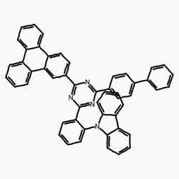 c1ccc(-c2ccc(-c3nc(-c4ccc5c6ccccc6c6ccccc6c5c4)nc(-c4ccccc4-n4c5ccccc5c5ccccc54)n3)cc2)cc1